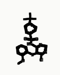 COc1ccccc1Sc1c(Cl)ncnc1NS(=O)(=O)c1ccc(C(C)(C)C)cc1